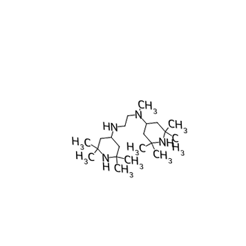 CN(CCNC1CC(C)(C)NC(C)(C)C1)C1CC(C)(C)NC(C)(C)C1